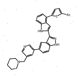 CC(=O)c1ccc(-c2cccc3[nH]c(-c4n[nH]c5ccc(-c6cncc(CN7CCCCC7)c6)cc45)cc23)s1